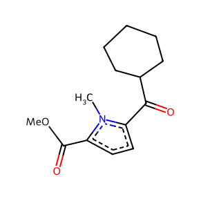 COC(=O)c1ccc(C(=O)C2CCCCC2)n1C